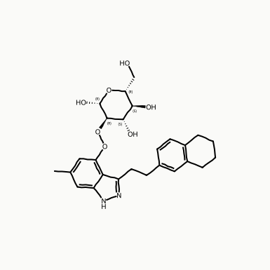 Cc1cc(OO[C@@H]2[C@@H](O)[C@H](O)[C@@H](CO)O[C@H]2O)c2c(CCc3ccc4c(c3)CCCC4)n[nH]c2c1